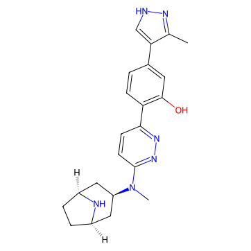 Cc1n[nH]cc1-c1ccc(-c2ccc(N(C)[C@H]3C[C@H]4CC[C@@H](C3)N4)nn2)c(O)c1